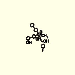 CN1C(=S)N(c2ccc(-c3ccccc3)cc2)[C@H](c2ccc(-c3cccc(O)c3)cc2O)[C@H]1CCCC(O)c1ccc(F)cc1